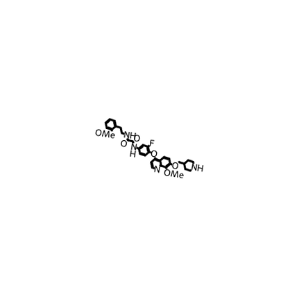 COc1ccccc1CCNC(=O)C(=O)Nc1ccc(Oc2ccnc3c(OC)c(OCC4CCNCC4)ccc23)c(F)c1